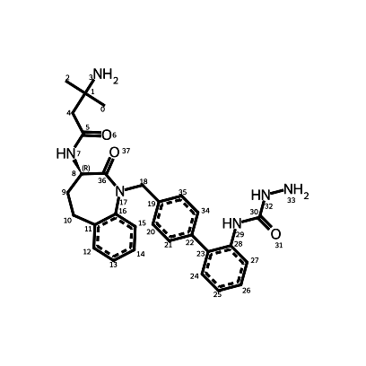 CC(C)(N)CC(=O)N[C@@H]1CCc2ccccc2N(Cc2ccc(-c3ccccc3NC(=O)NN)cc2)C1=O